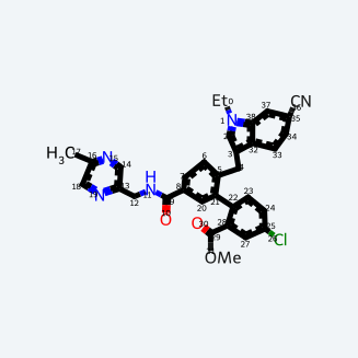 CCn1cc(Cc2ccc(C(=O)NCc3cnc(C)cn3)cc2-c2ccc(Cl)cc2C(=O)OC)c2ccc(C#N)cc21